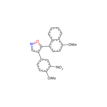 COc1ccc(-c2cnoc2-c2ccc(OC)c3ccccc23)cc1[N+](=O)[O-]